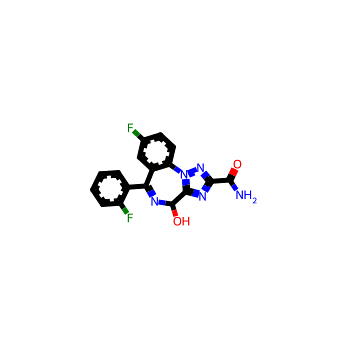 NC(=O)c1nc2n(n1)-c1ccc(F)cc1C(c1ccccc1F)=NC2O